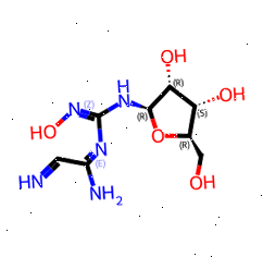 N=C/C(N)=N\C(=N/O)N[C@@H]1O[C@H](CO)[C@@H](O)[C@H]1O